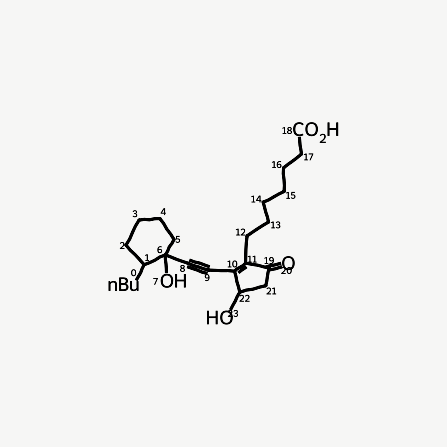 CCCCC1CCCCC1(O)C#CC1=C(CCCCCCC(=O)O)C(=O)CC1O